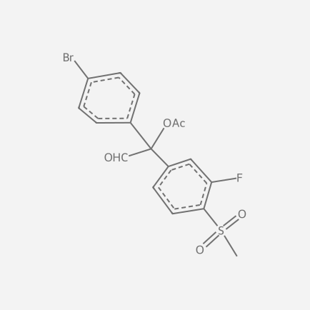 CC(=O)OC(C=O)(c1ccc(Br)cc1)c1ccc(S(C)(=O)=O)c(F)c1